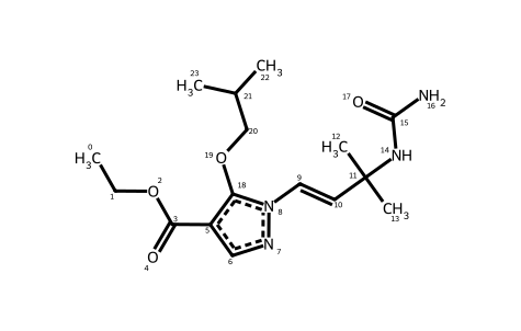 CCOC(=O)c1cnn(/C=C/C(C)(C)NC(N)=O)c1OCC(C)C